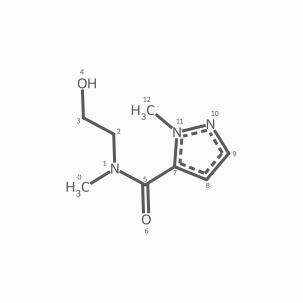 CN(CCO)C(=O)c1ccnn1C